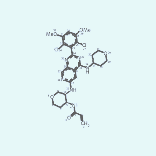 C=CC(=O)N[C@H]1CCOC[C@H]1Nc1cc2c(NC3CCOCC3)nc(-c3c(Cl)c(OC)cc(OC)c3Cl)nc2cn1